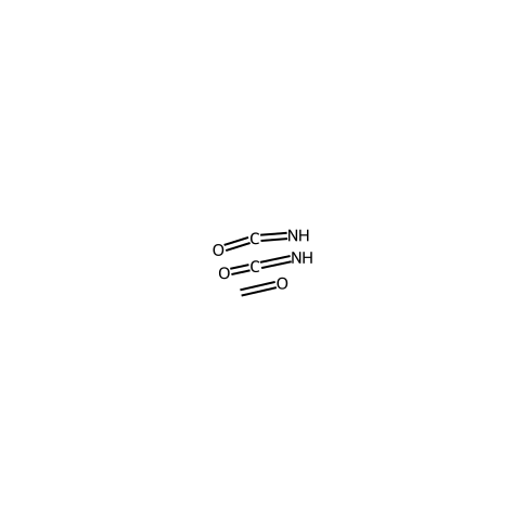 C=O.N=C=O.N=C=O